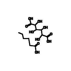 CCCCCC(=O)O.O=C(O)C(O)C(O)C(O)C(O)C(=O)O